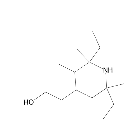 CCC1(C)CC(CCO)C(C)C(C)(CC)N1